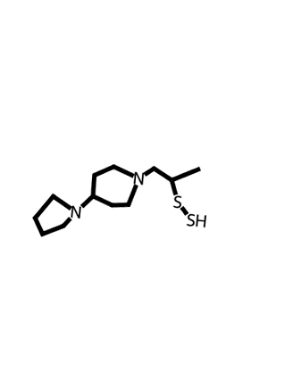 CC(CN1CCC(N2CCCC2)CC1)SS